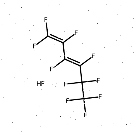 F.FC(F)=C(F)C(F)=C(F)C(F)(F)C(F)(F)F